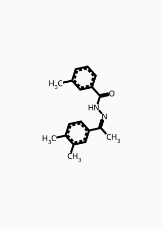 CC(=NNC(=O)c1cccc(C)c1)c1ccc(C)c(C)c1